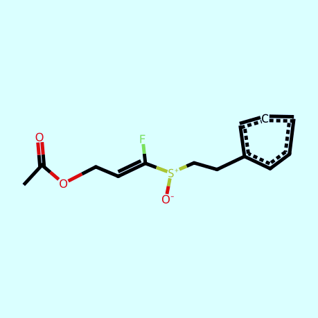 CC(=O)OCC=C(F)[S+]([O-])CCc1ccccc1